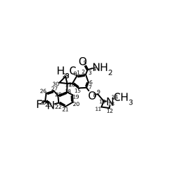 Cc1c(C(N)=O)cc(OCC2CCN2C)cc1C1(c2cccc3nc(F)ccc23)CC1